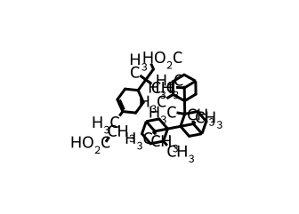 CC(=O)O.CC1=CCC(C(C)(C)CC(=O)O)CC1.CC1CCC2CC1(C1(C)CCC3CC1(C14CC(CCC1C)C4(C)C)C3(C)C)C2(C)C